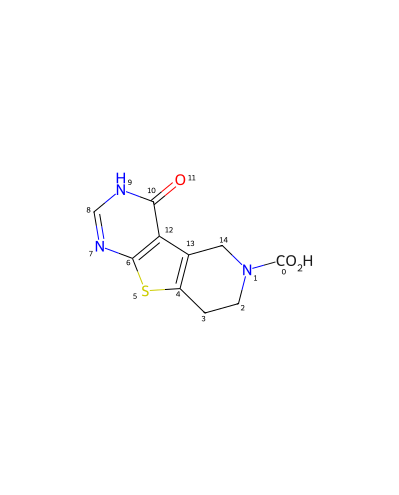 O=C(O)N1CCc2sc3nc[nH]c(=O)c3c2C1